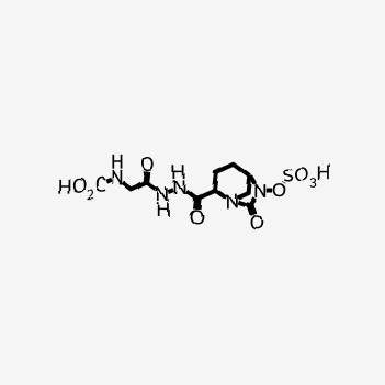 O=C(O)NCC(=O)NNC(=O)C1CCC2CN1C(=O)N2OS(=O)(=O)O